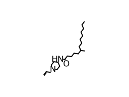 C=CCN1CCC(NC(=O)CCCCC(C)CCCCCCCC)CC1